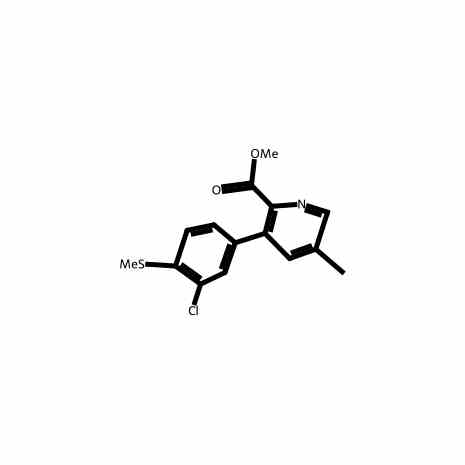 COC(=O)c1ncc(C)cc1-c1ccc(SC)c(Cl)c1